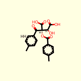 Cc1ccc(C(=O)O[C@@](C(=O)O)(C(=O)c2ccc(C)cc2)[C@H](O)C(=O)O)cc1.[HH]